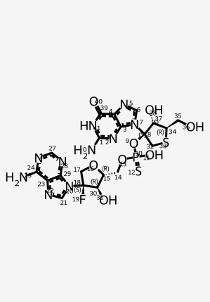 Nc1nc2c(ncn2[C@@]2(OP(O)(=S)OC[C@H]3OC[C@@](F)(n4cnc5c(N)ncnc54)[C@@H]3O)CS[C@H](CO)[C@H]2O)c(=O)[nH]1